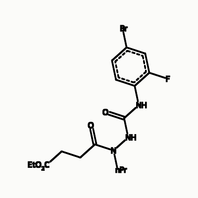 CCCN(NC(=O)Nc1ccc(Br)cc1F)C(=O)CCC(=O)OCC